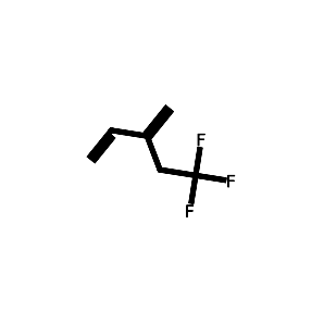 C=CC(=C)CC(F)(F)F